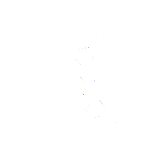 C[C@@H]1OC(=O)c2ccc(Nc3cc4c(C(C)(C)N)cnc(OC5CC(F)(F)C5)c4cn3)nc2[C@H]1C